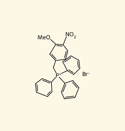 COc1cc(C[P+](c2ccccc2)(c2ccccc2)c2ccccc2)ccc1[N+](=O)[O-].[Br-]